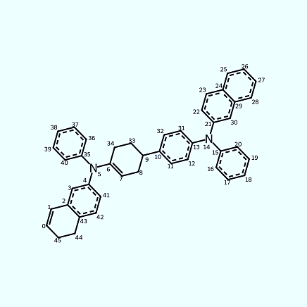 C1=Cc2cc(N(C3=CCC(c4ccc(N(c5ccccc5)c5ccc6ccccc6c5)cc4)CC3)c3ccccc3)ccc2CC1